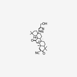 CC1(C)CC[C@]2(n3cc(CO)nn3)CC[C@]3(C)[C@H](C(=O)C=C4[C@@]5(C)C=C(C#N)C(=O)C(C)(C)C5CC[C@]43C)C2C1